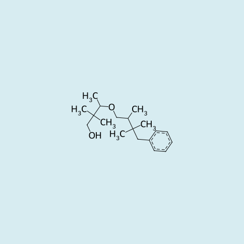 CC(COC(C)C(C)(C)CO)C(C)(C)Cc1ccccc1